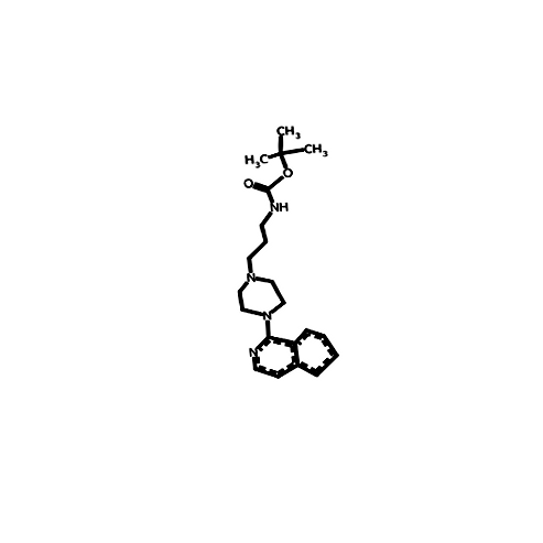 CC(C)(C)OC(=O)NCCCN1CCN(c2nccc3ccccc23)CC1